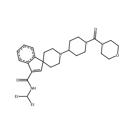 CCC(CC)NC(=O)C1=CC2(CCN(C3CCN(C(=O)N4CCOCC4)CC3)CC2)c2ccccc21